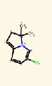 CC1(C)CC=C2C=CC(Cl)=CN21